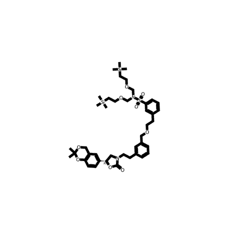 CC1(C)OCc2cc([C@@H]3CN(CCc4cccc(COCCc5cccc(S(=O)(=O)N(COCC[Si](C)(C)C)COCC[Si](C)(C)C)c5)c4)C(=O)O3)ccc2O1